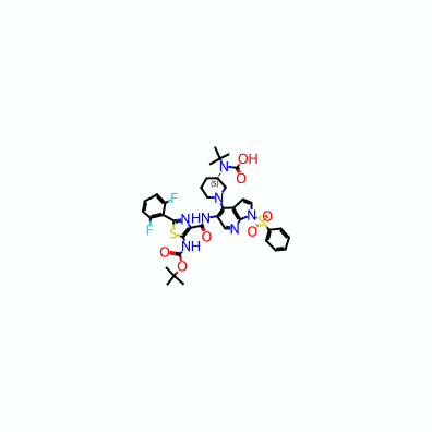 CC(C)(C)OC(=O)Nc1sc(-c2c(F)cccc2F)nc1C(=O)Nc1cnc2c(ccn2S(=O)(=O)c2ccccc2)c1N1CCC[C@H](N(C(=O)O)C(C)(C)C)C1